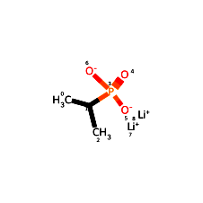 CC(C)P(=O)([O-])[O-].[Li+].[Li+]